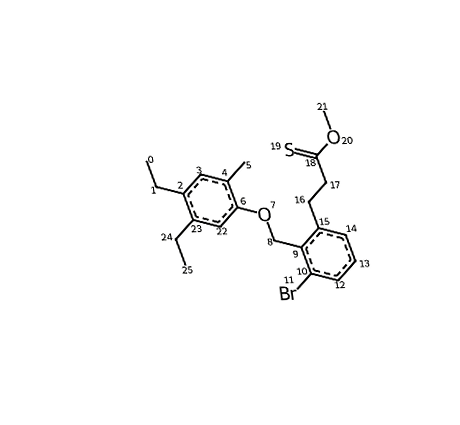 CCc1cc(C)c(OCc2c(Br)cccc2CCC(=S)OC)cc1CC